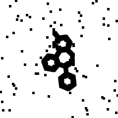 Ic1ccc2c(n1)-c1ccccc1C(c1ccccc1)=NC2